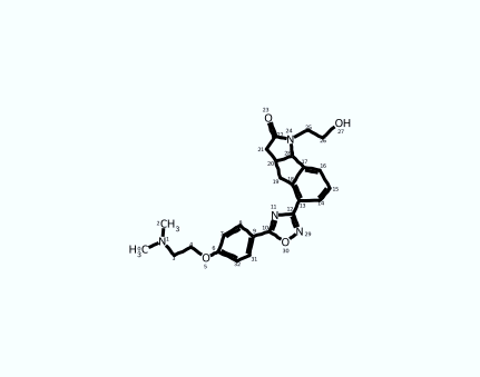 CN(C)CCOc1ccc(-c2nc(-c3cccc4c3CC3CC(=O)N(CCO)C43)no2)cc1